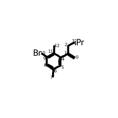 C=C(CC(C)C)c1cc(C)cc(Br)c1C